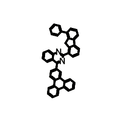 c1ccc(-c2cccc3c2Cc2c(-c4nc(-c5ccc6c7ccccc7c7ccccc7c6c5)c5ccccc5n4)cccc2-3)cc1